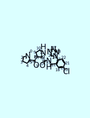 CN1CCC[C@@H]1C(=O)[C@H]1CCN[C@@H]1C(=O)NCc1cc(Cl)ccc1-n1cnnn1